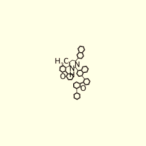 CC1=C(c2cccc3oc4ccccc4c23)NC(c2ccc(-c3cccc4oc5c(-c6ccccc6)cccc5c34)c3ccccc23)N=C(c2ccc3ccccc3c2)C1